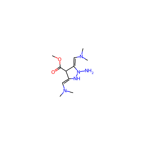 COC(=O)C1C(=CN(C)C)NN(N)C1=CN(C)C